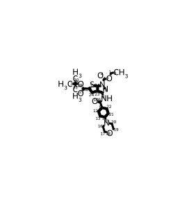 CCOC(=O)n1nc(NC(=O)c2ccc(N3CCOCC3)cc2)c2cc(C(=O)OC(C)(C)C)sc21